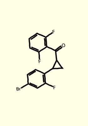 O=C(c1c(F)cccc1F)C1CC1c1ccc(Br)cc1F